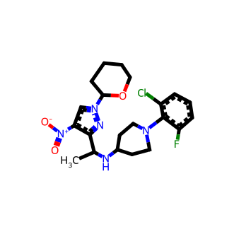 CC(NC1CCN(c2c(F)cccc2Cl)CC1)c1nn(C2CCCCO2)cc1[N+](=O)[O-]